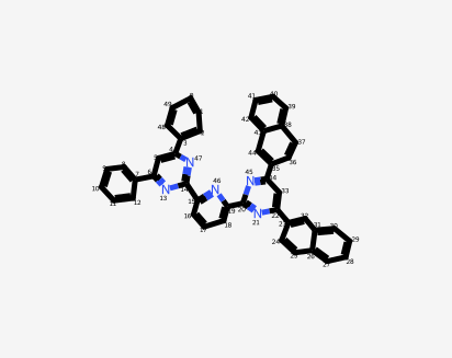 c1ccc(-c2cc(-c3ccccc3)nc(-c3cccc(-c4nc(-c5ccc6ccccc6c5)cc(-c5ccc6ccccc6c5)n4)n3)n2)cc1